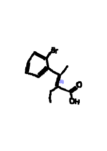 CC/C(C(=O)O)=C(/C)c1ccccc1Br